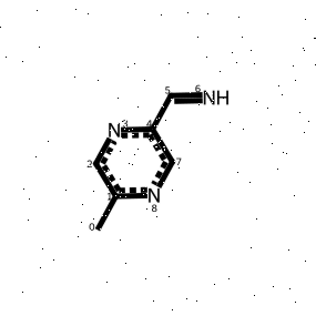 Cc1cnc(C=N)cn1